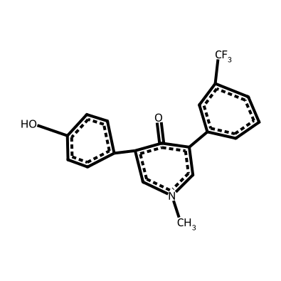 Cn1cc(-c2ccc(O)cc2)c(=O)c(-c2cccc(C(F)(F)F)c2)c1